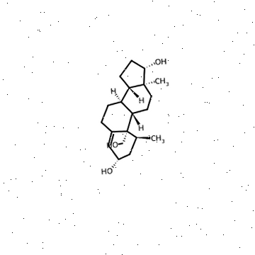 C[C@H]1C[C@H](O)C=C2CC[C@H]3[C@@H]4CC[C@H](O)[C@@]4(C)CC[C@@H]3[C@]21CO